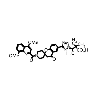 COc1cc(C(=O)N2CCC3(CC2)CC(=O)c2cc(-c4nnn(C(C)C(C)(C)C(=O)O)n4)ccc2O3)nc2c(OC)cccc12